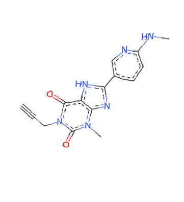 C#CCn1c(=O)c2[nH]c(-c3ccc(NC)nc3)nc2n(C)c1=O